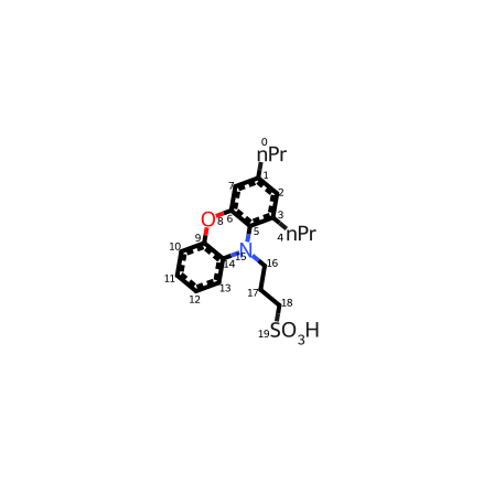 CCCc1cc(CCC)c2c(c1)Oc1ccccc1N2CCCS(=O)(=O)O